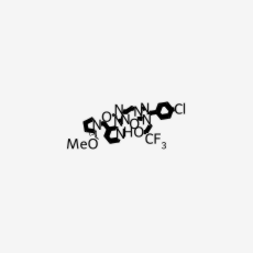 COC[C@@H]1CCCN1C(=O)c1cccnc1-n1cnc(Cn2nc(-c3ccc(Cl)cc3)n(CC(O)C(F)(F)F)c2=O)n1